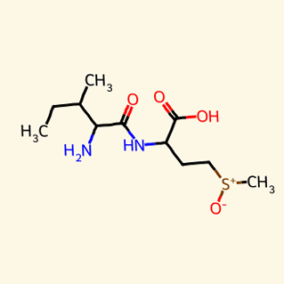 CCC(C)C(N)C(=O)NC(CC[S+](C)[O-])C(=O)O